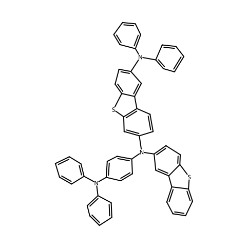 c1ccc(N(c2ccccc2)c2ccc(N(c3ccc4c(c3)sc3ccc(N(c5ccccc5)c5ccccc5)cc34)c3ccc4sc5ccccc5c4c3)cc2)cc1